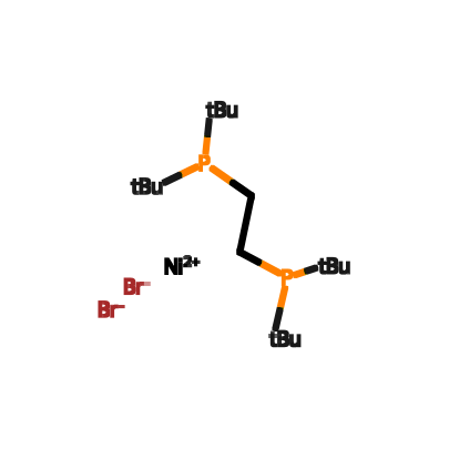 CC(C)(C)P(CCP(C(C)(C)C)C(C)(C)C)C(C)(C)C.[Br-].[Br-].[Ni+2]